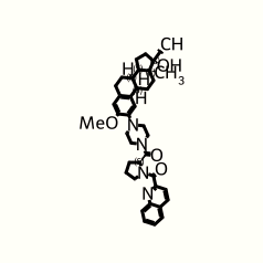 C#C[C@]1(O)CC[C@H]2[C@@H]3CCc4cc(OC)c(N5CCN(C(=O)[C@@H]6CCCN6C(=O)c6ccc7ccccc7n6)CC5)cc4[C@H]3CC[C@@]21C